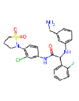 NCc1cccc(NC(C(=O)Nc2ccc(N3CCCS3(=O)=O)c(Cl)c2)c2ccccc2F)c1